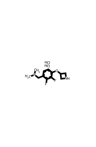 CN(C)Cc1ccc(OC2CNC2)c(F)c1F.Cl.Cl